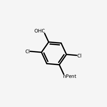 CCCCCc1cc(Cl)c(C=O)cc1Cl